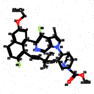 COCOc1cc(-c2ncc3c(c(C)cn3C3CC4CCC3CN4C(=O)OC(C)(C)C)c2F)c2c(C#C[Si](C(C)C)(C(C)C)C(C)C)c(F)ccc2c1